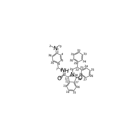 CN(C)c1ccc(CNC(=O)C2c3ccccc3C(=O)N2CC(c2ccccc2)c2ccccc2)cc1